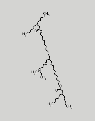 CCCCCC(CCCCC)CC(=O)OCCCCCCCCCCC(CCCCCCCCCCOC(=O)CC(CCCCC)CCCCC)COCCCN(C)CC